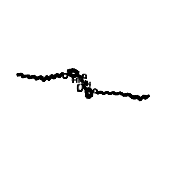 CCCCCCCCCCCCCCCCOc1cccc(C(=O)NNC(=O)c2cccc(OCCCCCCCCCCCCCCCC)c2)c1